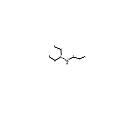 CCC[AsH]N(CC)CC